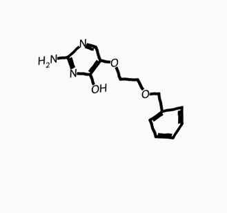 Nc1ncc(OCCOCc2ccccc2)c(O)n1